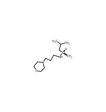 C=S(=O)(CC(C)C)NCCCN1CCOCC1